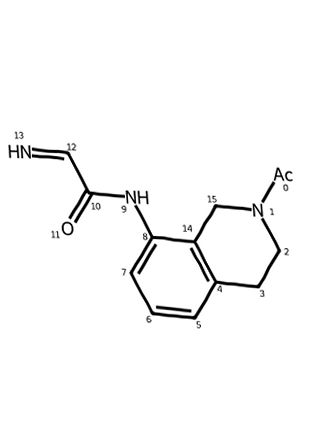 CC(=O)N1CCc2cccc(NC(=O)C=N)c2C1